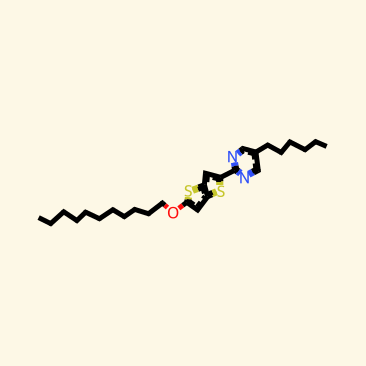 CCCCCCCCCCCOc1cc2sc(-c3ncc(CCCCCC)cn3)cc2s1